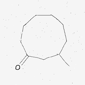 C[C]1CCCCCCC(=O)C1